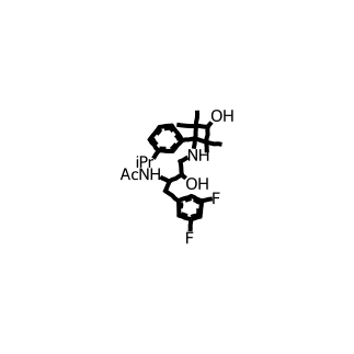 CC(=O)NC(Cc1cc(F)cc(F)c1)C(O)CNC1(c2cccc(C(C)C)c2)C(C)(C)C(O)C1(C)C